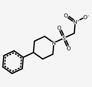 O=[N+]([O-])CS(=O)(=O)N1CCC(c2ccccc2)CC1